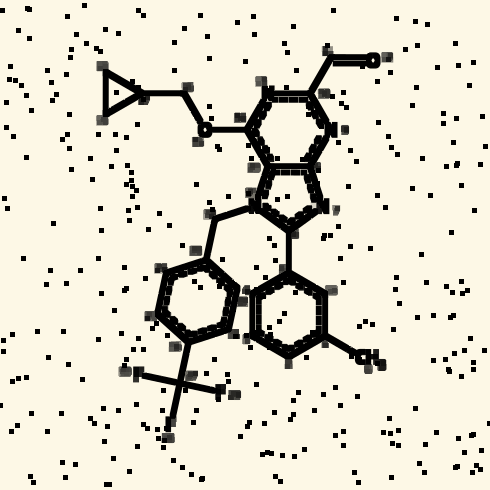 Cc1cccc(-c2nc3nc(C=O)nc(OCC4CC4)c3n2Cc2ccc(C(F)(F)F)cc2)c1